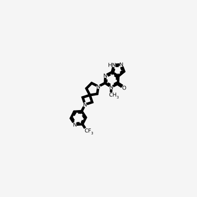 Cn1c(N2CCC3(CN(c4ccnc(C(F)(F)F)c4)C3)C2)nc2[nH]ncc2c1=O